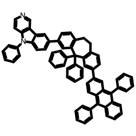 c1ccc(-c2c3ccccc3c(-c3ccccc3)c3cc(-c4ccc5c(c4)C(c4ccccc4)(c4ccccc4)c4cc(-c6ccc7c(c6)c6cnccc6n7-c6ccccc6)ccc4CC5)ccc23)cc1